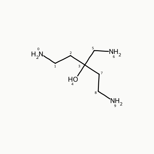 NCCC(O)(CN)CCN